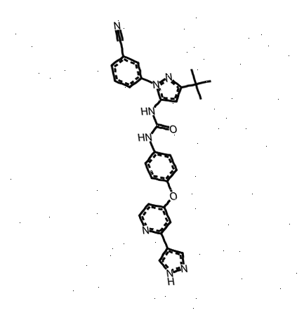 CC(C)(C)c1cc(NC(=O)Nc2ccc(Oc3ccnc(-c4cn[nH]c4)c3)cc2)n(-c2cccc(C#N)c2)n1